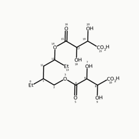 CCC(COC(=O)C(O)C(O)C(=O)O)CC(CC)OC(=O)C(O)C(O)C(=O)O